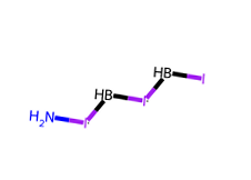 N[I]B[I]BI